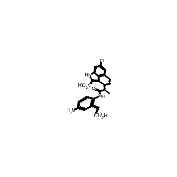 CC(C(=O)Nc1ccc(N)cc1CC(=O)O)C1CCc2cc(Cl)cc3[nH]c(C(=O)O)c1c23